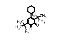 CC(C)(C)C1=CC(C2CCCCC2)=C(C(C)(C)C)C(=O)C1=O